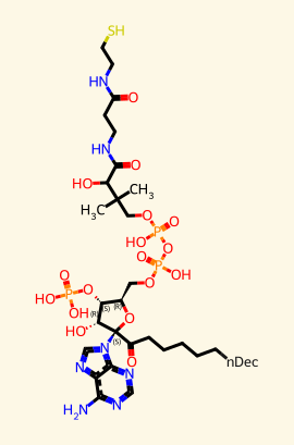 CCCCCCCCCCCCCCCC(=O)[C@@]1(n2cnc3c(N)ncnc32)O[C@H](COP(=O)(O)OP(=O)(O)OCC(C)(C)C(O)C(=O)NCCC(=O)NCCS)[C@@H](OP(=O)(O)O)[C@H]1O